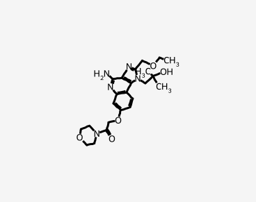 CCOCc1nc2c(N)nc3cc(OCC(=O)N4CCOCC4)ccc3c2n1CC(C)(C)O